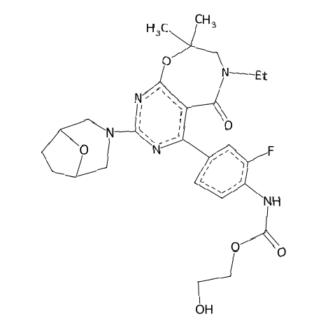 CCN1CC(C)(C)Oc2nc(N3CC4CCC(C3)O4)nc(-c3ccc(NC(=O)OCCO)c(F)c3)c2C1=O